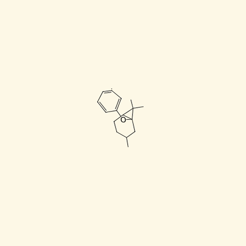 CC1CCC2C(C)(C)C2(Oc2c[c]ccc2)C1